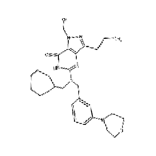 CCCc1nn(CC)c2c(=O)[nH]c(N(Cc3cccc(N4CCOCC4)c3)CC3CCCCC3)nc12